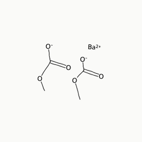 COC(=O)[O-].COC(=O)[O-].[Ba+2]